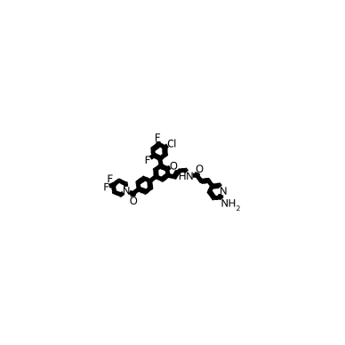 Nc1ccc(C=CC(=O)NCc2cc3cc(-c4ccc(C(=O)N5CCC(F)(F)CC5)cc4)cc(-c4cc(Cl)c(F)cc4F)c3o2)cn1